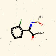 COC(=O)/C(=N\[S@@+]([O-])C(C)(C)C)c1ccccc1F